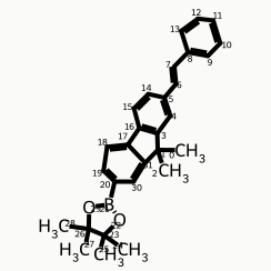 CC1(C)c2cc(/C=C/c3ccccc3)ccc2-c2ccc(B3OC(C)(C)C(C)(C)O3)cc21